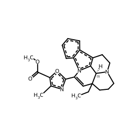 CCC12C=C(c3nc(C)c(C(=O)OC)o3)n3c4c(c5ccccc53)CCN(CCC1)[C@H]42